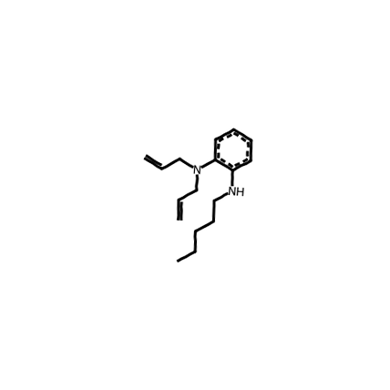 C=CCN(CC=C)c1ccccc1NCCCCC